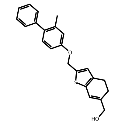 Cc1cc(OCc2cc3c(s2)C=C(CO)CC3)ccc1-c1ccccc1